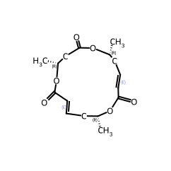 C[C@@H]1C/C=C/C(=O)O[C@H](C)CC(=O)O[C@H](C)C/C=C/C(=O)O1